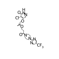 C[C@@H](COc1cn[nH]c(=O)c1Cl)OCCC(=O)N1CCN(c2ncc(C(F)(F)F)cn2)CC1